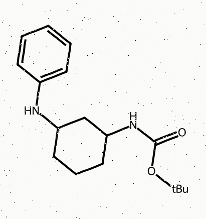 CC(C)(C)OC(=O)NC1CCCC(Nc2ccccc2)C1